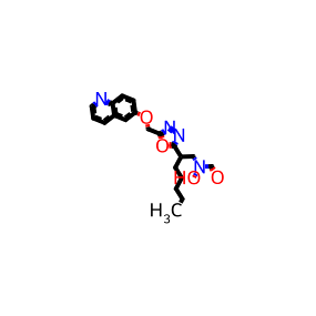 CCCCCC(CN(O)C=O)c1nnc(COc2ccc3ncccc3c2)o1